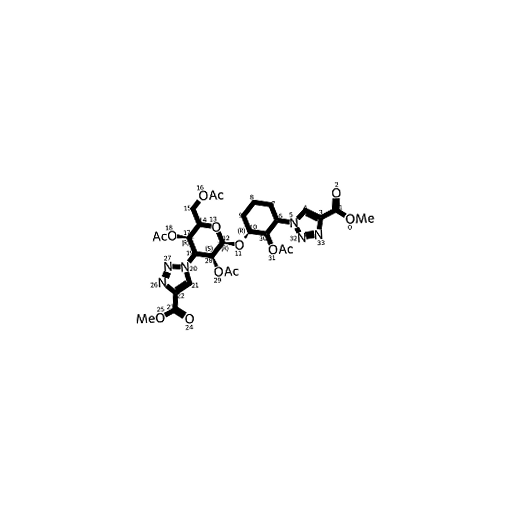 COC(=O)c1cn(C2CCC[C@@H](O[C@@H]3OC(COC(C)=O)[C@H](OC(C)=O)C(n4cc(C(=O)OC)nn4)[C@@H]3OC(C)=O)C2OC(C)=O)nn1